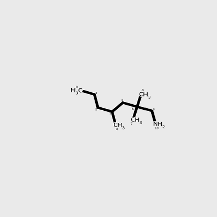 CCCC(C)CC(C)(C)CN